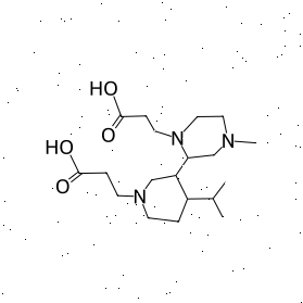 CC(C)C1CCN(CCC(=O)O)CC1C1CN(C)CCN1CCC(=O)O